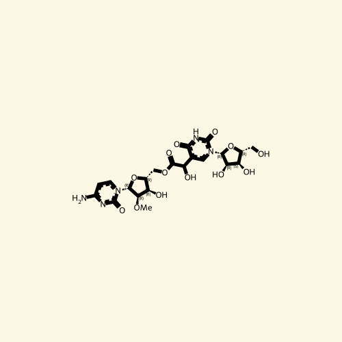 CO[C@@H]1[C@H](O)[C@@H](COC(=O)C(O)c2cn([C@@H]3O[C@H](CO)[C@@H](O)[C@H]3O)c(=O)[nH]c2=O)O[C@H]1n1ccc(N)nc1=O